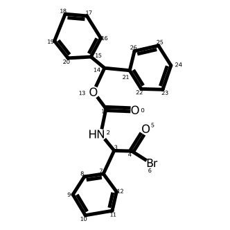 O=C(NC(C(=O)Br)c1ccccc1)OC(c1ccccc1)c1ccccc1